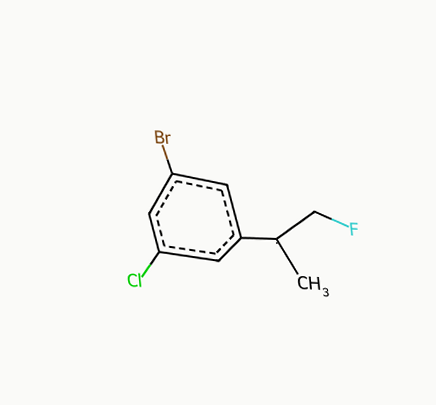 C[C](CF)c1cc(Cl)cc(Br)c1